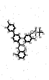 Cc1ccc(-c2ccc(C(Cc3c(F)cccc3F)Sc3ccc(O[Si](C)(C)C(C)(C)C)c(C)c3)cc2)cc1